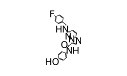 O=C(Nc1ccc(O)cc1)c1cnc2ccc(NCc3ccc(F)cc3)nn12